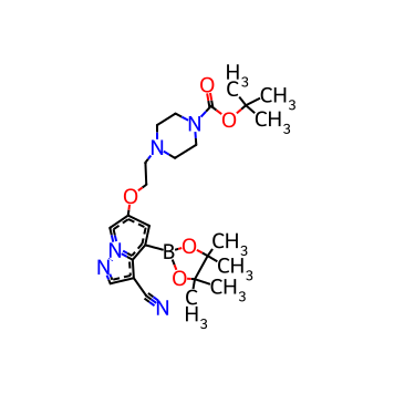 CC(C)(C)OC(=O)N1CCN(CCOc2cc(B3OC(C)(C)C(C)(C)O3)c3c(C#N)cnn3c2)CC1